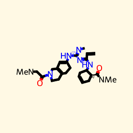 C=C/C(=N\C(=N/C)NC1=CC2=C(CC1)CCN(C(=O)CNC)C2)NC1CC=CC[C@@H]1C(=O)NC